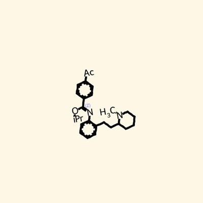 CC(=O)c1ccc(/C(=N/c2ccccc2CCC2CCCCN2C)OC(C)C)cc1